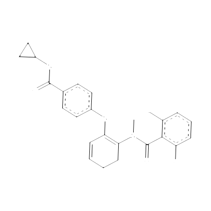 CN(C(=O)c1c(Cl)cccc1Cl)C1=C(Nc2ccc(C(=O)NC3CC3)cc2)C=CCC1